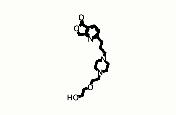 O=C1OCc2nc(CCCN3CCN(CCOCCO)CC3)ccc21